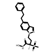 C[C@@](CCn1ncc2cc(CCc3ccccc3)ccc21)(C(=O)NO)S(C)(=O)=O